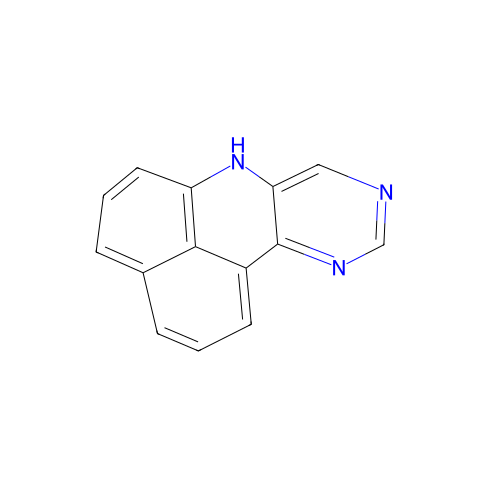 c1cc2c3c(cccc3c1)-c1ncncc1N2